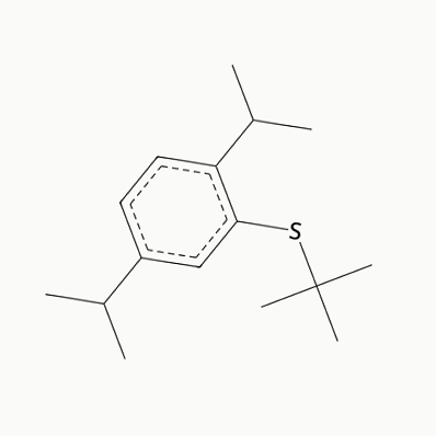 CC(C)c1ccc(C(C)C)c(SC(C)(C)C)c1